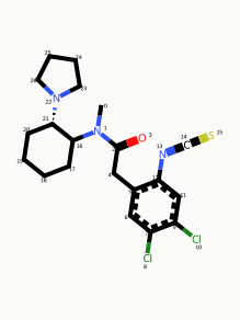 CN(C(=O)Cc1cc(Cl)c(Cl)cc1N=C=S)C1CCCC[C@@H]1N1CCCC1